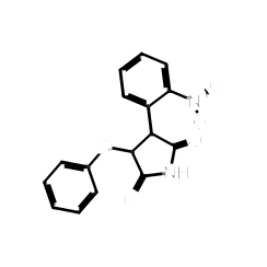 O=C1NC(=O)C(c2ccccc2[N+](=O)[O-])C1Sc1ccccc1